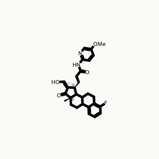 COc1ccc(NC(=O)CC[C@@H]2/C(=C/O)C(=O)[C@@]3(C)CCC4c5cccc(F)c5CCC4C23)nc1